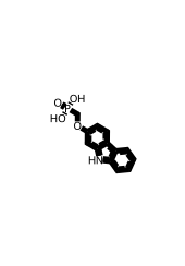 O=P(O)(O)COc1ccc2c(c1)[nH]c1ccccc12